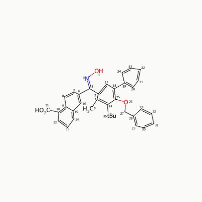 Cc1c(C(=NO)c2ccc3c(C(=O)O)cccc3c2)cc(-c2ccccc2)c(OCc2ccccc2)c1C(C)(C)C